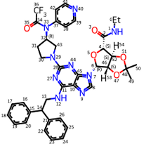 CCNC(=O)[C@H]1O[C@@H](n2cnc3c(NCC(c4ccccc4)c4ccccc4)nc(N4CC[C@@H](N(C(=O)C(F)(F)F)c5ccncc5)C4)nc32)[C@H]2OC(C)(C)O[C@@H]21